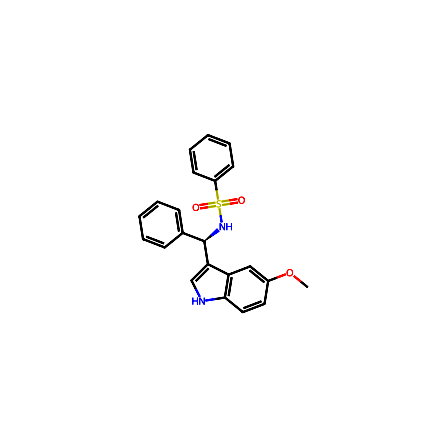 COc1ccc2[nH]cc([C@H](NS(=O)(=O)c3ccccc3)c3ccccc3)c2c1